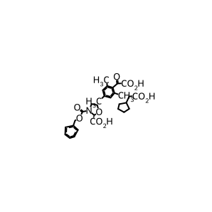 Cc1cc(C)c(C(=O)C(=O)O)c(C)c1.O=C(O)CC1CCCC1.O=C(O)[C@@H]1OCCN1C(=O)OCc1ccccc1